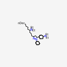 CCCCCCCCCCCCCCC(CCCC1=NN(c2ccccc2)C(c2ccc(N(CC)CC)cc2)C1)N(CC)CC